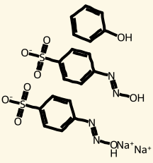 O=S(=O)([O-])c1ccc(N=NO)cc1.O=S(=O)([O-])c1ccc(N=NO)cc1.Oc1ccccc1.[Na+].[Na+]